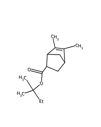 CCC(C)(C)OC(=O)C1CC2CC1C(C)=C2C